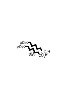 B.CCCCCCCCCCCCCCCC(=O)O.CCCCCCCCCCCCCCCC(=O)O.[Cu]